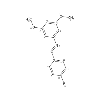 COc1cc(N=Cc2ccc(F)cc2)cc(OC)c1